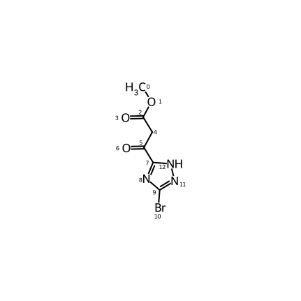 COC(=O)CC(=O)c1nc(Br)n[nH]1